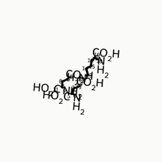 NC(CCC(=O)O)C(=O)O.NC(CCC(=O)O)C(=O)O.NCCCCC(N)C(=O)O